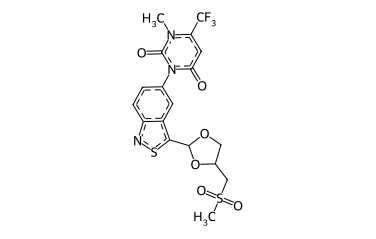 Cn1c(C(F)(F)F)cc(=O)n(-c2ccc3nsc(C4OCC(CS(C)(=O)=O)O4)c3c2)c1=O